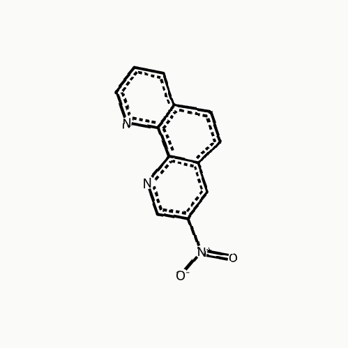 O=[N+]([O-])c1cnc2c(ccc3cccnc32)c1